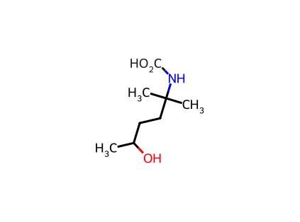 CC(O)CCC(C)(C)NC(=O)O